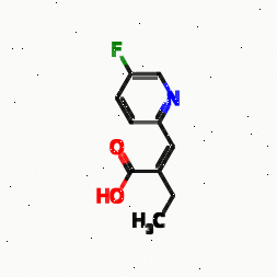 CCC(=Cc1ccc(F)cn1)C(=O)O